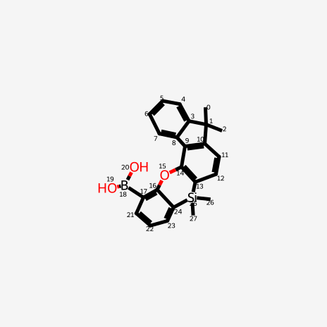 CC1(C)c2ccccc2-c2c1ccc1c2Oc2c(B(O)O)cccc2[Si]1(C)C